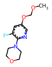 COCOc1cnc(N2CCOCC2)c(F)c1